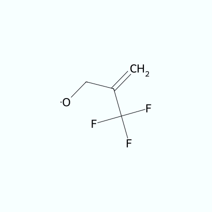 C=C(C[O])C(F)(F)F